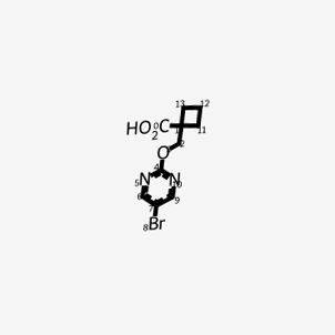 O=C(O)C1(COc2ncc(Br)cn2)CCC1